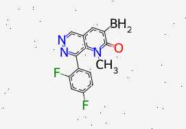 Bc1cc2cnnc(-c3ccc(F)cc3F)c2n(C)c1=O